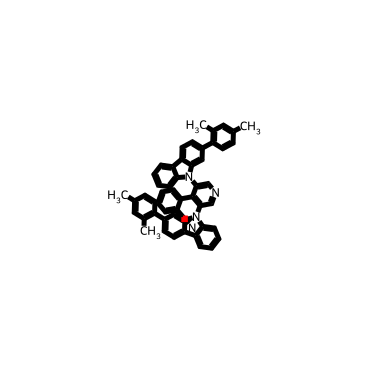 Cc1ccc(-c2ccc3c4ccccc4n(-c4cncc(-n5c6ccccc6c6ccc(-c7ccc(C)cc7C)cc65)c4-c4ccccc4C#N)c3c2)c(C)c1